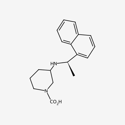 C[C@@H](NC1CCCN(C(=O)O)C1)c1cccc2ccccc12